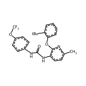 Cc1ccc(NC(=O)Nc2ccc(OC(F)(F)F)cc2)c(Oc2ccccc2C(C)(C)C)n1